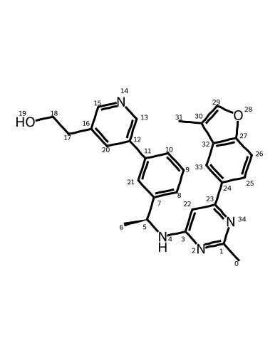 Cc1nc(N[C@@H](C)c2cccc(-c3cncc(CCO)c3)c2)cc(-c2ccc3occ(C)c3c2)n1